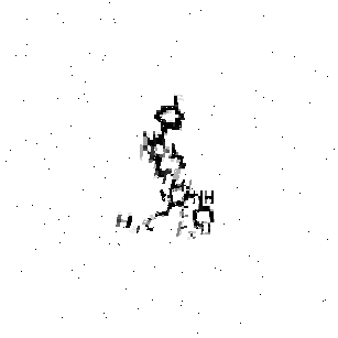 CCCc1nc(N2CCn3c(nnc3-c3ccc(F)cc3)C2)nc(NC2CCOCC2)c1C